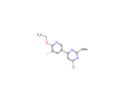 CSc1nc(Cl)cc(-c2cnc(OCC(F)(F)F)c(F)c2)n1